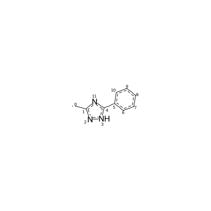 [CH2]c1n[nH]c(-c2ccccc2)n1